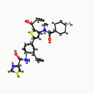 COC(=O)c1sc(-c2ccc(NC(=O)c3cscn3)c(OC)c2)cc1N(C(=O)[C@H]1CC[C@H](C)CC1)C(C)C